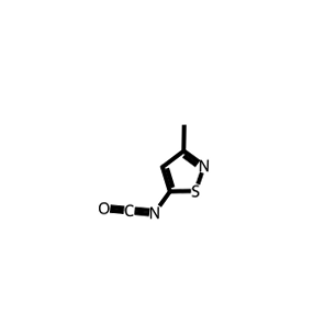 Cc1cc(N=C=O)sn1